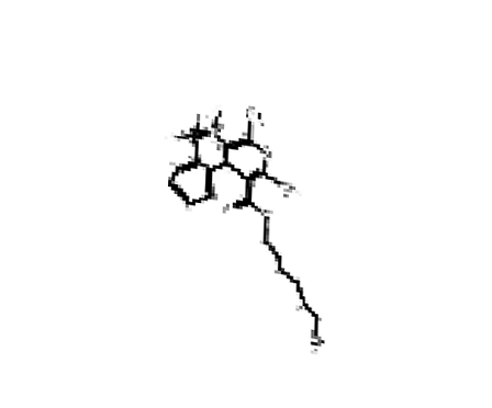 CC1=C(C(=O)OCCCCCCO)C(c2ccccc2C(F)(F)F)C([N+](=O)[O-])=C(C)N1